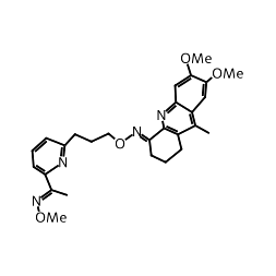 CO/N=C(\C)c1cccc(CCCO/N=C2\CCCc3c2nc2cc(OC)c(OC)cc2c3C)n1